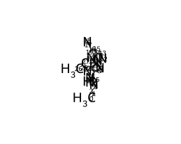 CCCCn1cc(-c2cnc(-n3ncc4cc(C#N)cnc43)cc2NC(C)C)nn1